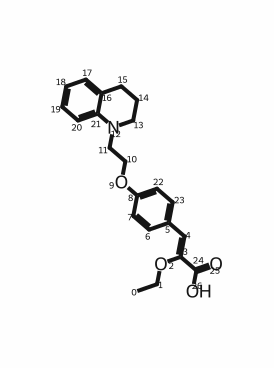 CCOC(=Cc1ccc(OCCN2CCCc3ccccc32)cc1)C(=O)O